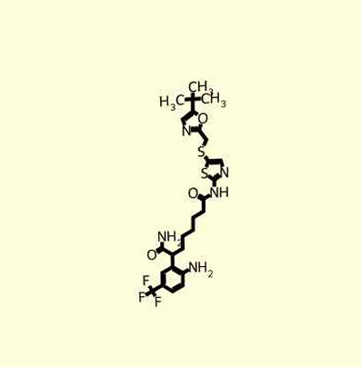 CC(C)(C)c1cnc(CSc2cnc(NC(=O)CCCCCC(C(N)=O)c3cc(C(F)(F)F)ccc3N)s2)o1